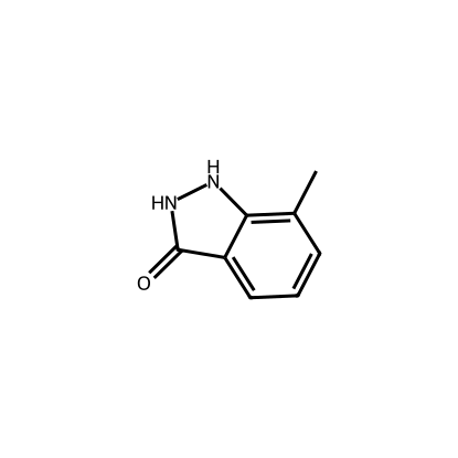 Cc1cccc2c(=O)[nH][nH]c12